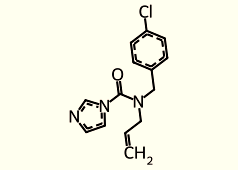 C=CCN(Cc1ccc(Cl)cc1)C(=O)n1ccnc1